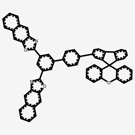 c1ccc2c(c1)Oc1ccccc1C21c2ccccc2-c2ccc(-c3ccc(-c4cc(-c5nc6cc7ccccc7cc6o5)cc(-c5nc6cc7ccccc7cc6o5)c4)cc3)cc21